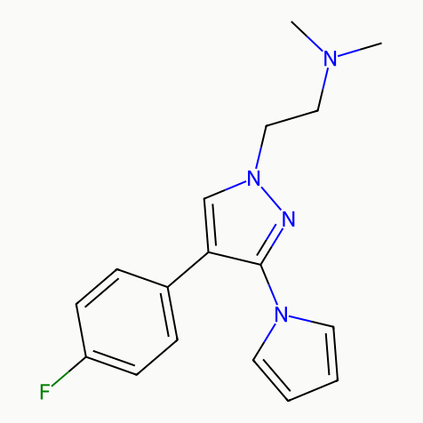 CN(C)CCn1cc(-c2ccc(F)cc2)c(-n2cccc2)n1